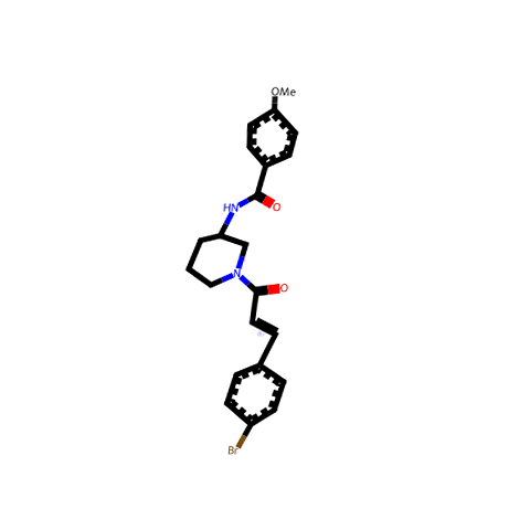 COc1ccc(C(=O)NC2CCCN(C(=O)/C=C/c3ccc(Br)cc3)C2)cc1